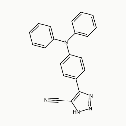 N#Cc1[nH]nnc1-c1ccc(N(c2ccccc2)c2ccccc2)cc1